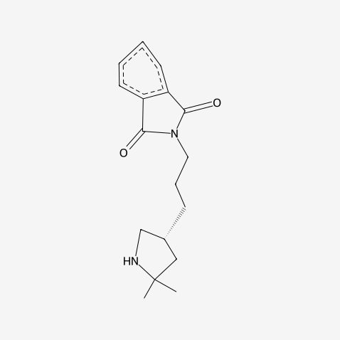 CC1(C)C[C@@H](CCCN2C(=O)c3ccccc3C2=O)CN1